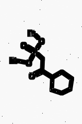 CCOP(=O)(CC(=O)C1CCCCC1)OCC